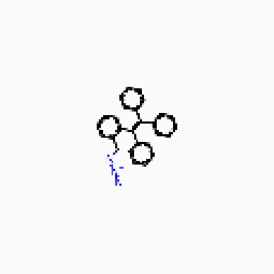 [N-]=[N+]=NCc1ccccc1C(=C(c1ccccc1)c1ccccc1)c1ccccc1